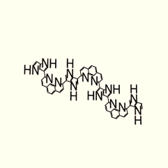 c1cc2[nH]cc(-c3ccc4ccc5ccc(-c6c[nH]c7c(-c8ccc9ccc%10ccc(-c%11c[nH]c%12c(-c%13ccc%14ccc%15ccc(-c%16c[nH]c%17cc[nH]c%16%17)nc%15c%14n%13)c[nH]c%11%12)nc%10c9n8)c[nH]c67)nc5c4n3)c2[nH]1